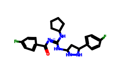 O=C(/N=C(/NC1CCCC1)NC1CC(c2ccc(F)cc2)NN1)c1ccc(F)cc1